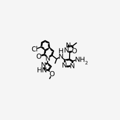 COc1cc(-n2c(C(C)Nc3ncnc(N)c3-c3nnc(C)o3)cc3cccc(Cl)c3c2=O)n[nH]1